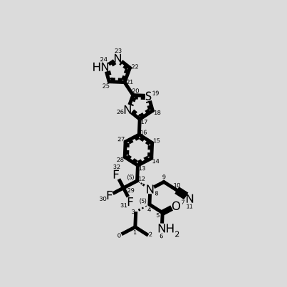 CC(C)C[C@@H](C(N)=O)N(CC#N)[C@@H](c1ccc(-c2csc(-c3cn[nH]c3)n2)cc1)C(F)(F)F